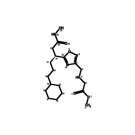 COC(=O)CNCc1noc([C@H](CCCC2CCCCC2)CC(=O)NO)n1